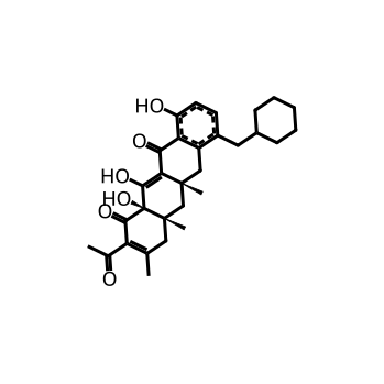 CC(=O)C1=C(C)C[C@@]2(C)C[C@@]3(C)Cc4c(CC5CCCCC5)ccc(O)c4C(=O)C3=C(O)[C@@]2(O)C1=O